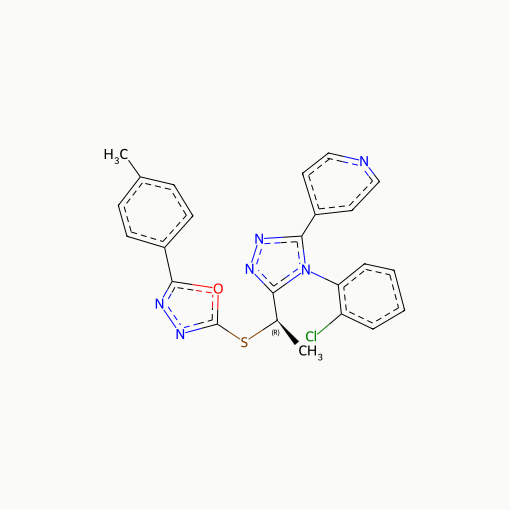 Cc1ccc(-c2nnc(S[C@H](C)c3nnc(-c4ccncc4)n3-c3ccccc3Cl)o2)cc1